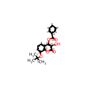 CC(C)(C)Oc1cccc2c(OC(=O)c3ccccc3)c(O)c(=O)oc12